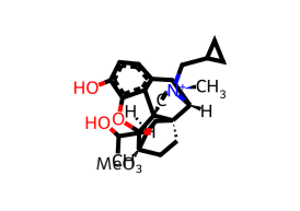 CO[C@]12CC[C@@]3(C[C@@H]1C(C)O)[C@H]1Cc4ccc(O)c5c4[C@@]3(CC[N@+]1(C)CC1CC1)[C@H]2O5